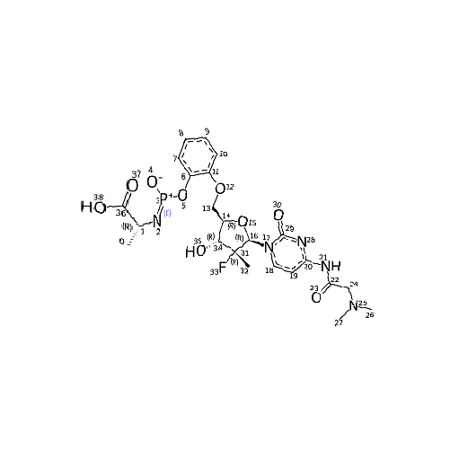 C[C@@H](/N=[P+](\[O-])Oc1ccccc1OC[C@H]1O[C@@H](n2ccc(NC(=O)CN(C)C)nc2=O)[C@](C)(F)[C@@H]1O)C(=O)O